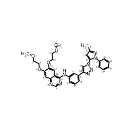 COCCOc1cc2ncnc(Nc3cccc(-c4cn(-c5cc(C)nn5-c5ccccc5)nn4)c3)c2cc1OCCOC